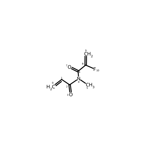 C=CC(=O)N(C)C(=O)C(=C)F